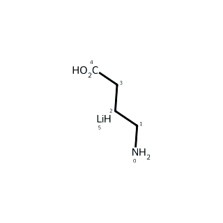 NCCCC(=O)O.[LiH]